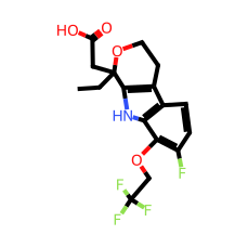 CCC1(CC(=O)O)OCCc2c1[nH]c1c(OCC(F)(F)F)c(F)ccc21